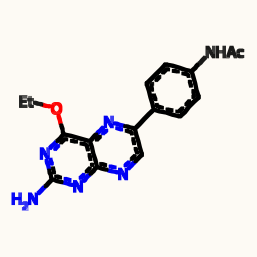 CCOc1nc(N)nc2ncc(-c3ccc(NC(C)=O)cc3)nc12